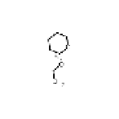 CCO[C@@H]1CCCCO1